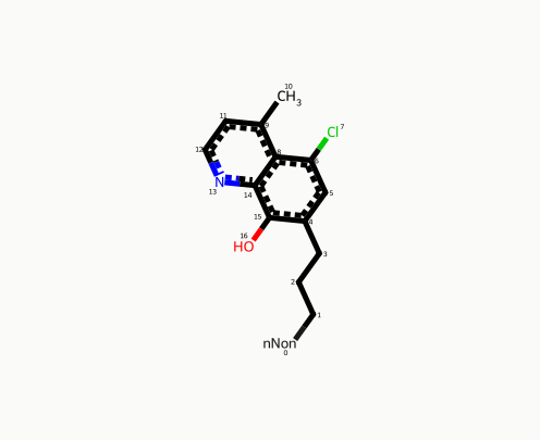 CCCCCCCCCCCCc1cc(Cl)c2c(C)ccnc2c1O